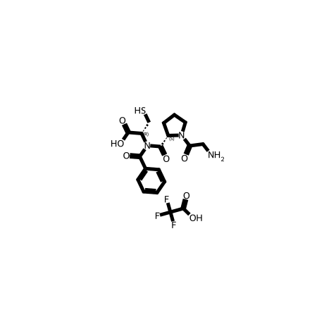 NCC(=O)N1CCC[C@H]1C(=O)N(C(=O)c1ccccc1)[C@@H](CS)C(=O)O.O=C(O)C(F)(F)F